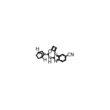 N#Cc1ccc2nc(NC(=O)[C@@H]3C[C@@H]4CC[C@H]3C4)n(C3=CC=C3)c2c1